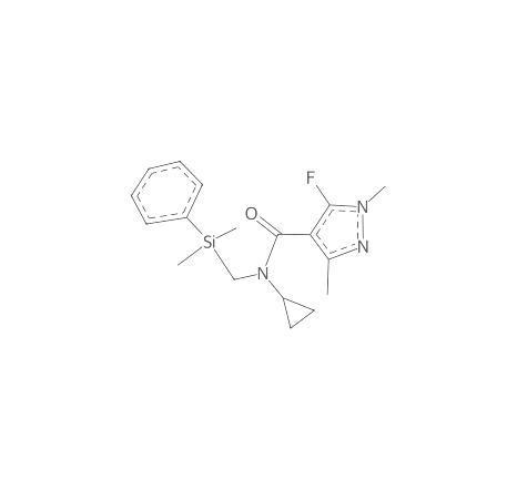 Cc1nn(C)c(F)c1C(=O)N(C[Si](C)(C)c1ccccc1)C1CC1